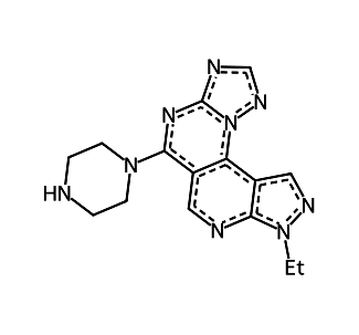 CCn1ncc2c1ncc1c(N3CCNCC3)nc3ncnn3c12